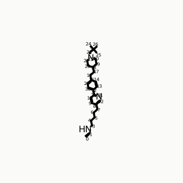 C=CNCCCCCc1ccc(-c2ccc(CCC3CCN(CC(C)(C)C)CC3)cc2)nc1